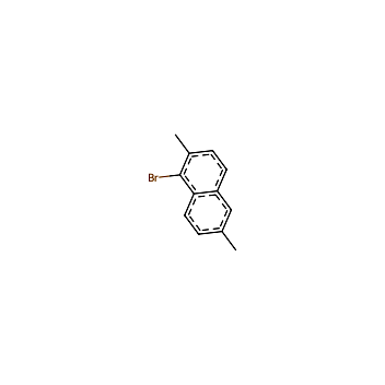 Cc1ccc2c(Br)c(C)ccc2c1